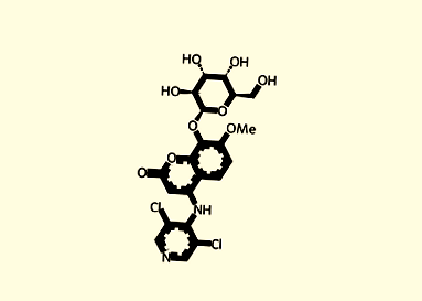 COc1ccc2c(Nc3c(Cl)cncc3Cl)cc(=O)oc2c1O[C@@H]1O[C@H](CO)[C@@H](O)[C@@H](O)[C@@H]1O